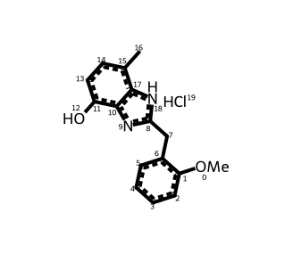 COc1ccccc1Cc1nc2c(O)ccc(C)c2[nH]1.Cl